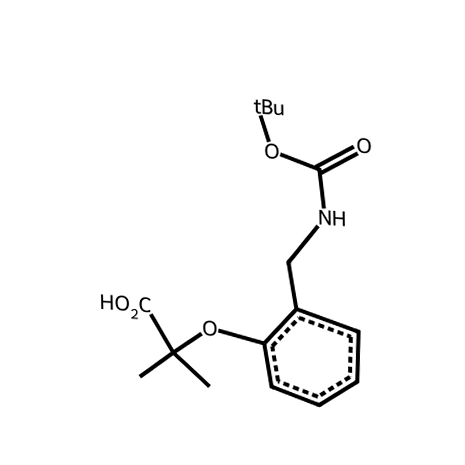 CC(C)(C)OC(=O)NCc1ccccc1OC(C)(C)C(=O)O